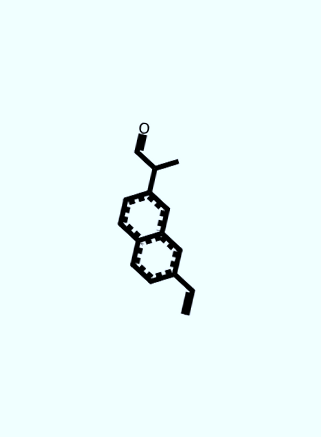 C=Cc1ccc2ccc(C(C)C=O)cc2c1